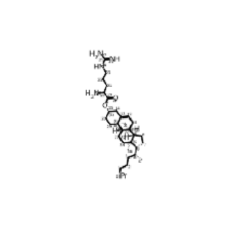 CC(C)CCC[C@@H](C)[C@H]1CC[C@H]2[C@@H]3CC=C4C[C@@H](OC(=O)C(N)CCCNC(=N)N)CC[C@]4(C)[C@H]3CC[C@]12C